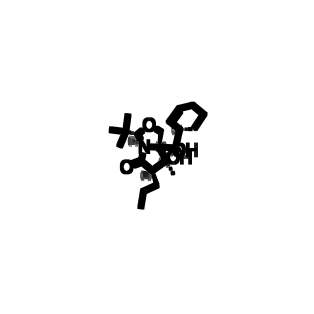 CCC[C@H]1C(=O)N2[C@H](C(C)(C)C)OC[C@@]2([C@@H](O)[C@@H]2C=CCCC2)[C@@]1(C)O